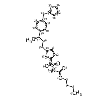 CCCCOC(=O)NS(=O)(=O)c1ccc(CCC(C)c2ccc(Cn3ccnc3)cc2)s1